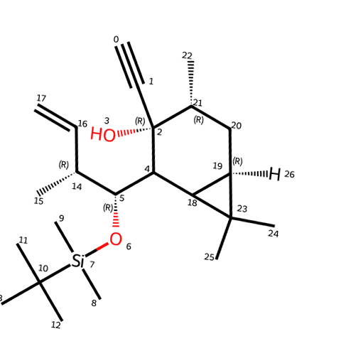 C#C[C@]1(O)C([C@H](O[Si](C)(C)C(C)(C)C)[C@H](C)C=C)C2[C@@H](C[C@H]1C)C2(C)C